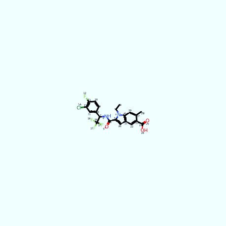 CCn1c(C(=O)NC(c2ccc(F)c(Cl)c2)C(F)(F)F)cc2cc(C(=O)O)c(C)cc21